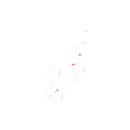 COc1ccc(CN(Cc2ccc(OC)cc2)S(=O)(=O)c2c(S(=O)(=O)N[C@@H]3CCN(C(=O)OC(C)(C)C)C3)ccc(Br)c2-c2nn[nH]n2)cc1